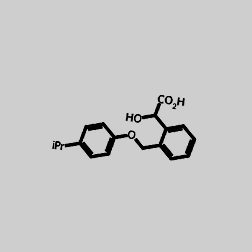 CC(C)c1ccc(OCc2ccccc2C(O)C(=O)O)cc1